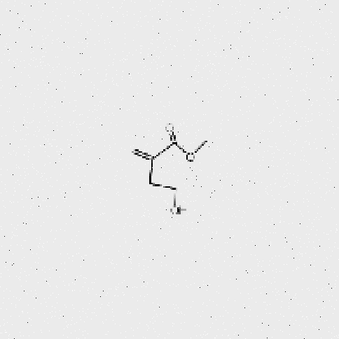 C=C(CCO)C(=O)OC